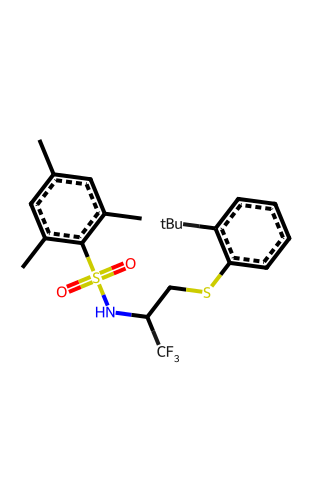 Cc1cc(C)c(S(=O)(=O)NC(CSc2ccccc2C(C)(C)C)C(F)(F)F)c(C)c1